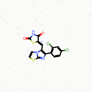 O=C1NC(=O)/C(=C/c2c(-c3ccc(Cl)cc3Cl)nc3sccn23)S1